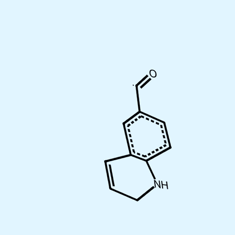 O=[C]c1ccc2c(c1)C=CCN2